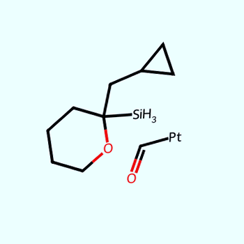 O=[CH][Pt].[SiH3]C1(CC2CC2)CCCCO1